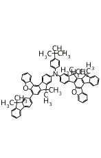 CC(C)(C)c1ccc(N(c2ccc3c(c2)C(C)(C)c2cc(-c4ccc5c(c4)C(C)(C)c4ccccc4-5)c4oc5ccccc5c4c2-3)c2ccc3c(c2)C(C)(C)c2c4c(c5c(oc6ccccc65)c2-3)-c2ccccc2C4(C)C)cc1